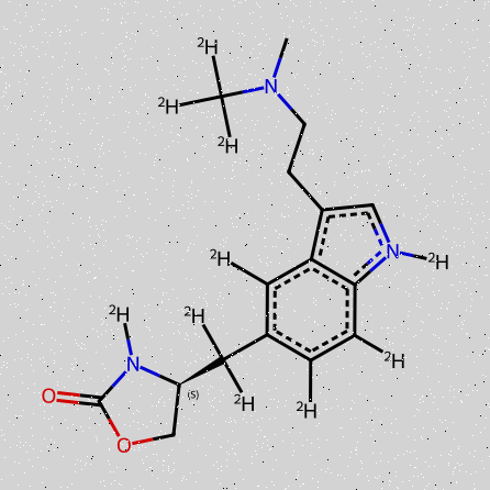 [2H]c1c(C([2H])([2H])[C@H]2COC(=O)N2[2H])c([2H])c2c(CCN(C)C([2H])([2H])[2H])cn([2H])c2c1[2H]